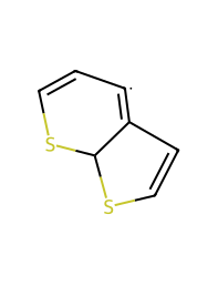 [C]1=C2C=CSC2SC=C1